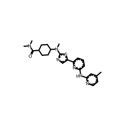 Cc1ccnc(Nc2cccc(-c3cnc(N(C)C4CCC(C(=O)N(C)C)CC4)s3)n2)c1